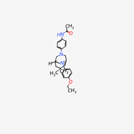 CCOc1ccc(N2C[C@H]3CN(c4ccc(NC(C)=O)cc4)CC2=CC(C)(C)C3)cc1